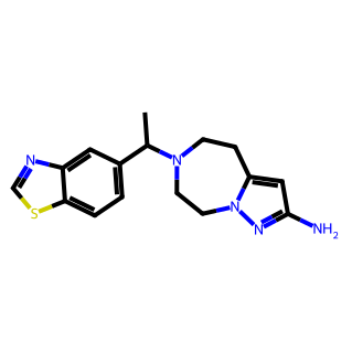 CC(c1ccc2scnc2c1)N1CCc2cc(N)nn2CC1